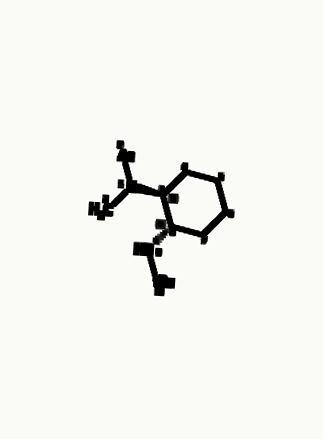 CC(=O)N(C)[C@H]1CCCC[C@@H]1NC(C)(C)C